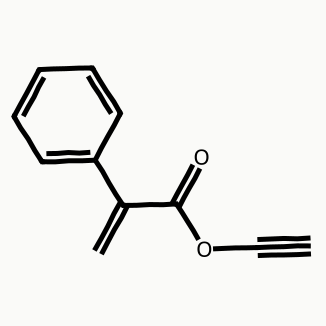 C#COC(=O)C(=C)c1ccccc1